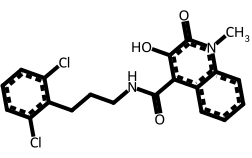 Cn1c(=O)c(O)c(C(=O)NCCCc2c(Cl)cccc2Cl)c2ccccc21